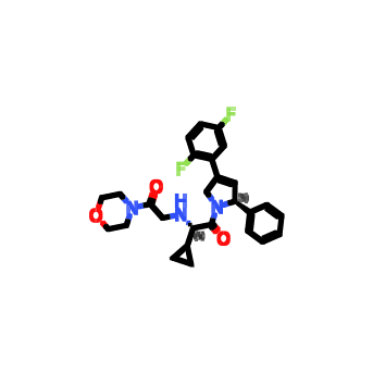 O=C(CN[C@H](C(=O)N1CC(c2cc(F)ccc2F)=C[C@H]1c1ccccc1)C1CC1)N1CCOCC1